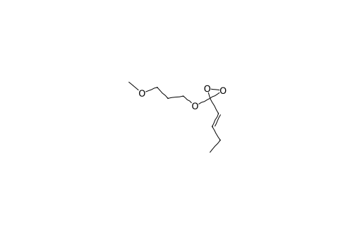 CCC=CC1(OCCCOC)OO1